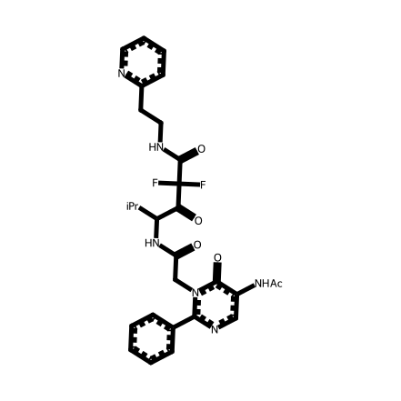 CC(=O)Nc1cnc(-c2ccccc2)n(CC(=O)NC(C(=O)C(F)(F)C(=O)NCCc2ccccn2)C(C)C)c1=O